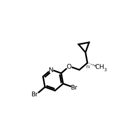 C[C@H](COc1ncc(Br)cc1Br)C1CC1